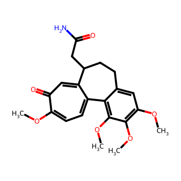 COc1cc2c(c(OC)c1OC)-c1ccc(OC)c(=O)cc1C(CC(N)=O)CC2